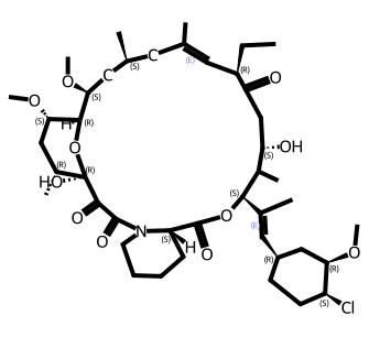 CC[C@@H]1/C=C(\C)C[C@H](C)C[C@H](OC)[C@H]2O[C@@](O)(C(=O)C(=O)N3CCCC[C@H]3C(=O)O[C@H](/C(C)=C/[C@@H]3CC[C@H](Cl)[C@H](OC)C3)C(C)[C@@H](O)CC1=O)[C@H](C)C[C@@H]2OC